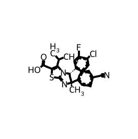 CC(C)C1=C(C(=O)O)SC2=N[C@@](C)(c3ccc(C#N)cc3)[C@@H](c3ccc(Cl)c(F)c3)N21